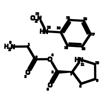 NCC(=O)OC(=O)[C@@H]1CCCN1.O=[N+]([O-])Nc1ccccc1